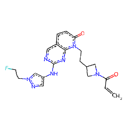 C=CC(=O)N1CC(CCn2c(=O)ccc3cnc(Nc4cnn(CCF)c4)nc32)C1